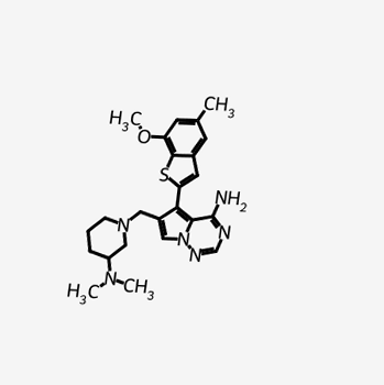 COc1cc(C)cc2cc(-c3c(CN4CCCC(N(C)C)C4)cn4ncnc(N)c34)sc12